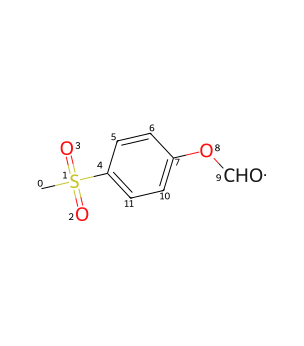 CS(=O)(=O)c1ccc(O[C]=O)cc1